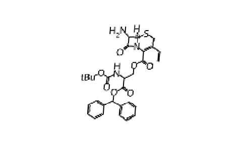 C=CC1=C(C(=O)OCC(NC(=O)OC(C)(C)C)C(=O)OC(c2ccccc2)c2ccccc2)N2C(=O)C(N)[C@@H]2SC1